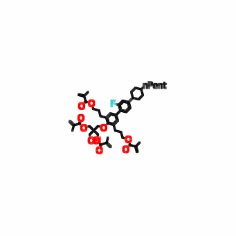 C=C(C)C(=O)OCCCc1cc(-c2ccc(C3CCC(CCCCC)CC3)cc2F)cc(CCCOC(=O)C(=C)C)c1OCC(CO)(COC(=O)C(=C)C)COC(=O)C(=C)C